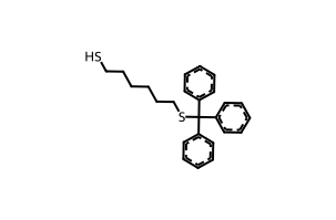 SCCCCCCSC(c1ccccc1)(c1ccccc1)c1ccccc1